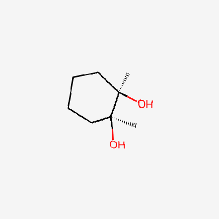 C[C@]1(O)CCCC[C@@]1(C)O